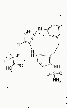 NS(=O)(=O)Nc1ccc2cc1CCc1cccc(c1)Nc1ncc(Cl)c(n1)N2.O=C(O)C(F)(F)F